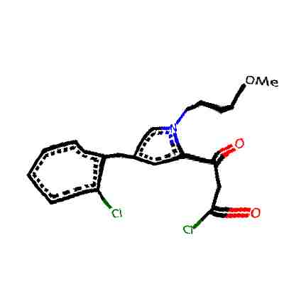 COCCn1cc(-c2ccccc2Cl)cc1C(=O)C(=O)Cl